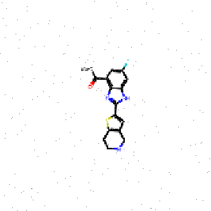 COC(=O)c1cc(F)cc2[nH]c(-c3cc4c(s3)CCNC4)nc12